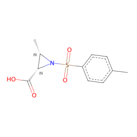 Cc1ccc(S(=O)(=O)N2[C@H](C(=O)O)[C@@H]2C)cc1